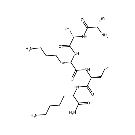 CC(C)C[C@H](NC(=O)[C@H](CCCCN)NC(=O)[C@@H](NC(=O)[C@@H](N)C(C)C)C(C)C)C(=O)N[C@@H](CCCCN)C(N)=O